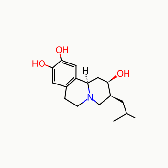 CC(C)C[C@H]1CN2CCc3cc(O)c(O)cc3[C@H]2C[C@H]1O